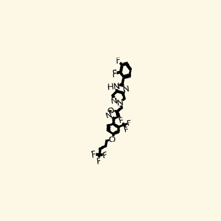 Fc1cccc(-c2nc3c([nH]2)C=NN(Cc2cc(-c4ccc(OCCCC(F)(F)F)cc4C(F)(F)F)no2)C3)c1F